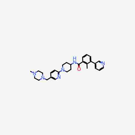 Cc1c(C(=O)NC2CCN(c3ccc(CN4CCN(C)CC4)cn3)CC2)cccc1-c1cccnc1